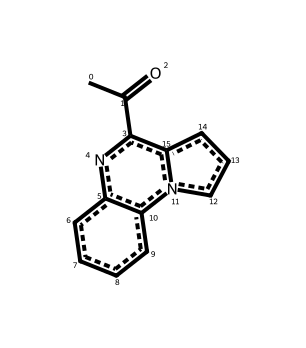 CC(=O)c1nc2ccccc2n2cccc12